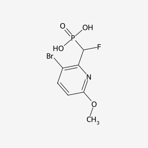 COc1ccc(Br)c(C(F)P(=O)(O)O)n1